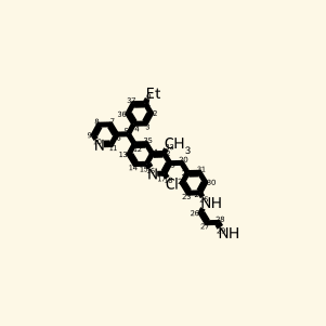 CCc1ccc(C(c2cccnc2)c2ccc3nc(Cl)c(Cc4ccc(N/C=C\C=N)cc4)c(C)c3c2)cc1